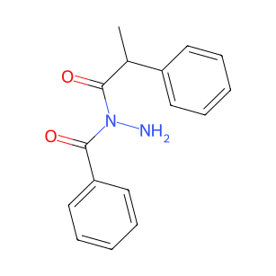 CC(C(=O)N(N)C(=O)c1ccccc1)c1ccccc1